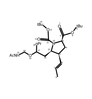 CC=C[C@@H]1C[C@H](C(=O)OC(C)(C)C)N(C(=O)OC(C)(C)C)[C@@H]1CC(CCC)OCNC(C)=O